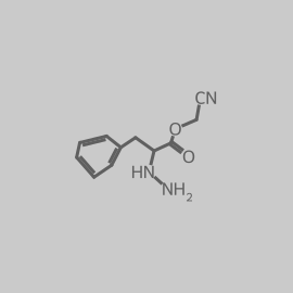 N#CCOC(=O)C(Cc1ccccc1)NN